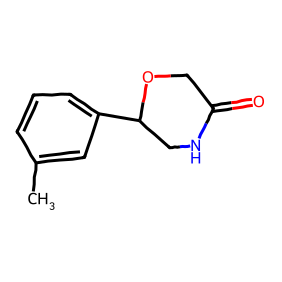 Cc1cccc(C2CNC(=O)CO2)c1